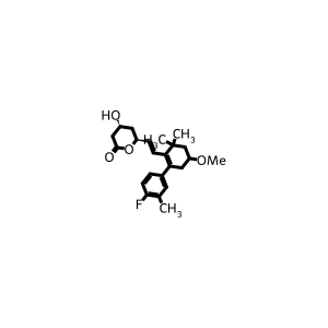 COC1CC(c2ccc(F)c(C)c2)=C(/C=C/[C@@H]2C[C@@H](O)CC(=O)O2)C(C)(C)C1